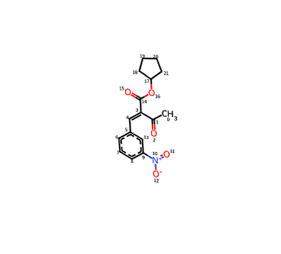 CC(=O)/C(=C\c1cccc([N+](=O)[O-])c1)C(=O)OC1CCCC1